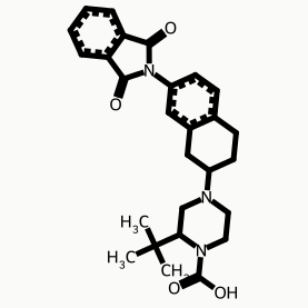 CC(C)(C)C1CN(C2CCc3ccc(N4C(=O)c5ccccc5C4=O)cc3C2)CCN1C(=O)O